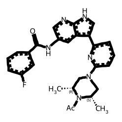 CC(=O)N1[C@H](C)CN(c2cccc(-c3c[nH]c4ncc(NC(=O)c5cccc(F)c5)cc34)n2)C[C@@H]1C